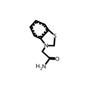 NC(=O)CN1CSc2ccccc21